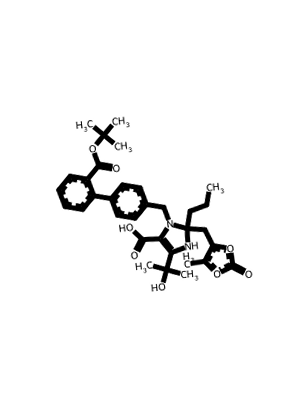 CCCC1(Cc2oc(=O)oc2C)NC(C(C)(C)O)=C(C(=O)O)N1Cc1ccc(-c2ccccc2C(=O)OC(C)(C)C)cc1